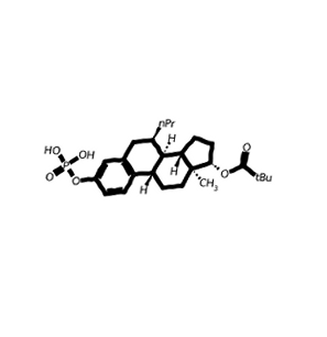 CCC[C@@H]1Cc2cc(OP(=O)(O)O)ccc2[C@H]2CC[C@]3(C)[C@@H](OC(=O)C(C)(C)C)CC[C@H]3[C@H]12